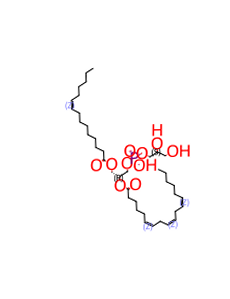 CCCCC/C=C\C/C=C\C/C=C\CCCCC(=O)O[C@H](COC(=O)CCCCCCC/C=C\CCCCC)COP(=O)(O)OC[C@@H](O)CO